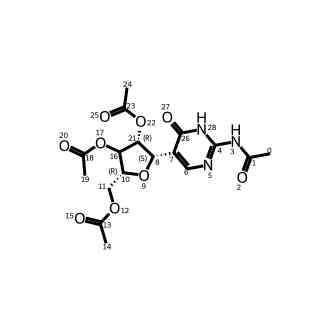 CC(=O)Nc1ncc([C@@H]2O[C@H](COC(C)=O)C(OC(C)=O)[C@@H]2OC(C)=O)c(=O)[nH]1